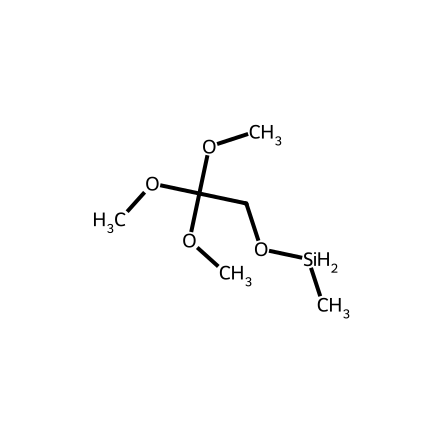 COC(CO[SiH2]C)(OC)OC